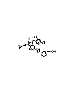 CC(c1cnc(Cl)cc1Cl)n1nc(C#CC2CC2)c2nnc(N3CC([C@H]4CCCN(CCO)C4)C3)cc21